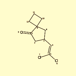 O=C1CC(C=C(Cl)Cl)CC12CCC2